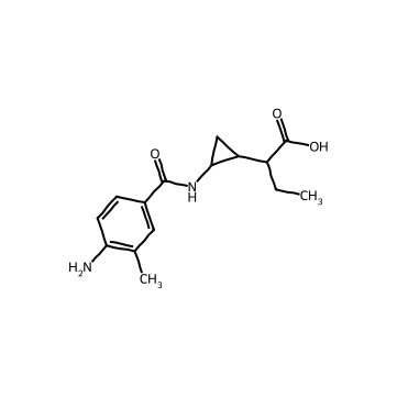 CCC(C(=O)O)C1CC1NC(=O)c1ccc(N)c(C)c1